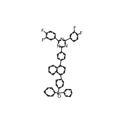 O=P(c1ccccc1)(c1ccccc1)c1ccc(-c2ccc(-c3ccc(-c4nc(-c5ccc(F)c(F)c5)nc(-c5ccc(F)c(F)c5)n4)cc3)c3ccccc23)cc1